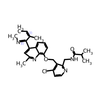 C/C=C(C)\C(=N/C)c1cc(C)nc2c(OCc3c(Cl)ccnc3CNC(=O)C(C)C)cccc12